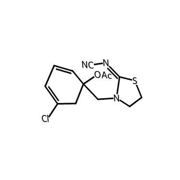 CC(=O)OC1(CN2CCS/C2=N/C#N)C=CC=C(Cl)C1